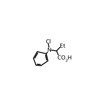 CCC(C(=O)O)N(Cl)c1ccccc1